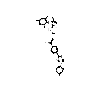 Cc1cc(C)c(-n2c(C)cs/c2=N\C(=O)N/C=C(\C#N)c2ccc(-c3ncn(-c4ccc(OC(F)(F)F)cc4)n3)cc2)c(C)c1